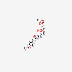 COC(=O)CCCC(O)\C=C/C=C/C=C/C(=O)CCc1ccc(OC)cc1